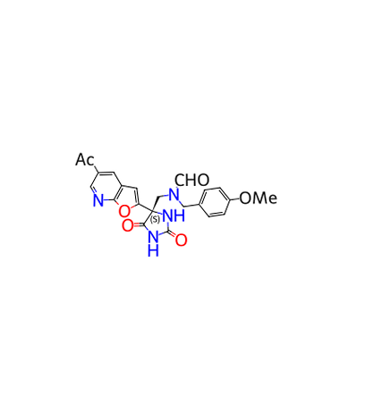 COc1ccc(CN(C=O)C[C@@]2(c3cc4cc(C(C)=O)cnc4o3)NC(=O)NC2=O)cc1